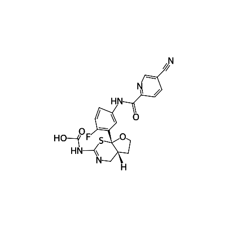 N#Cc1ccc(C(=O)Nc2ccc(F)c([C@@]34OCC[C@@H]3CN=C(NC(=O)O)S4)c2)nc1